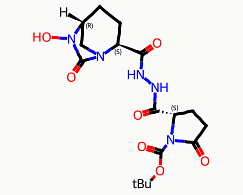 CC(C)(C)OC(=O)N1C(=O)CC[C@H]1C(=O)NNC(=O)[C@@H]1CC[C@@H]2CN1C(=O)N2O